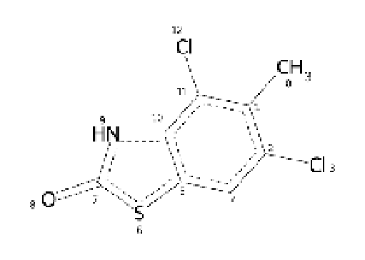 Cc1c(Cl)cc2sc(=O)[nH]c2c1Cl